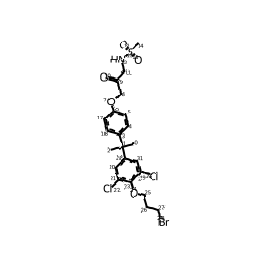 CC(C)(c1ccc(OCC(=O)CNS(C)(=O)=O)cc1)c1cc(Cl)c(OCCCBr)c(Cl)c1